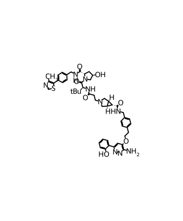 Cc1ncsc1-c1ccc(CNC(=O)[C@@H]2C[C@@H](O)CN2C(=O)[C@@H](NC(=O)CCN2C[C@@H]3[C@H](C2)[C@H]3C(=O)NCc2ccc(CCOc3cc(-c4ccccc4O)nnc3N)cc2)C(C)(C)C)cc1